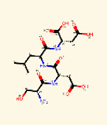 CC(C)C[C@H](NC(=O)[C@H](CC(=O)O)NC(=O)[C@@H](N)CO)C(=O)N[C@@H](CC(=O)O)C(=O)O